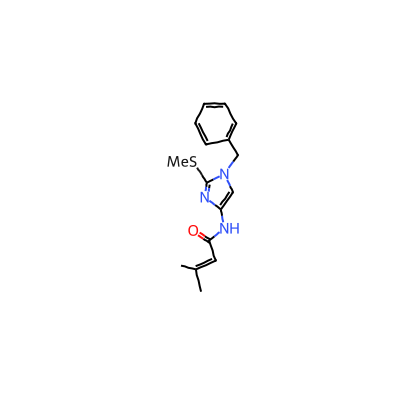 CSc1nc(NC(=O)C=C(C)C)cn1Cc1ccccc1